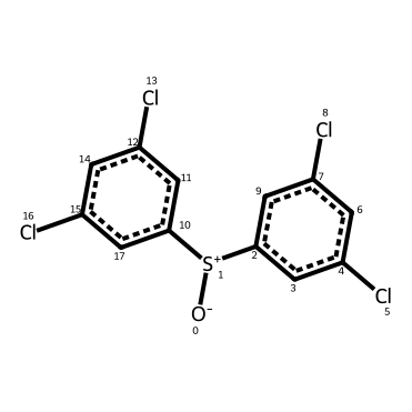 [O-][S+](c1cc(Cl)cc(Cl)c1)c1cc(Cl)cc(Cl)c1